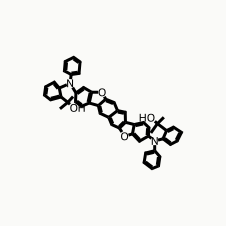 CC(C)(O)c1ccccc1N(c1ccccc1)c1ccc2c(c1)oc1cc3cc4c(cc3cc12)oc1cc(N(c2ccccc2)c2ccccc2C(C)(C)O)ccc14